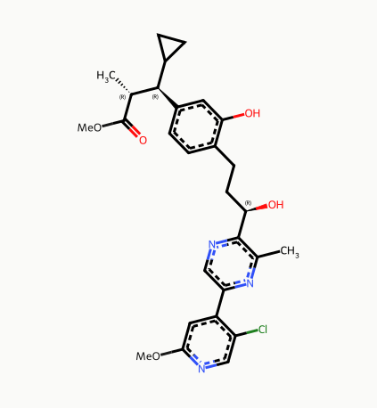 COC(=O)[C@H](C)[C@H](c1ccc(CC[C@@H](O)c2ncc(-c3cc(OC)ncc3Cl)nc2C)c(O)c1)C1CC1